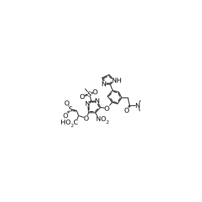 CN(C)C(=O)Cc1cc(Oc2nc(S(C)(=O)=O)nc(OC(C=S(=O)=O)C(=O)O)c2[N+](=O)[O-])cc(-c2ncc[nH]2)c1